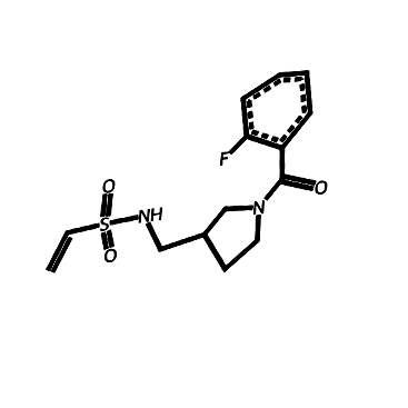 C=CS(=O)(=O)NCC1CCN(C(=O)c2ccccc2F)C1